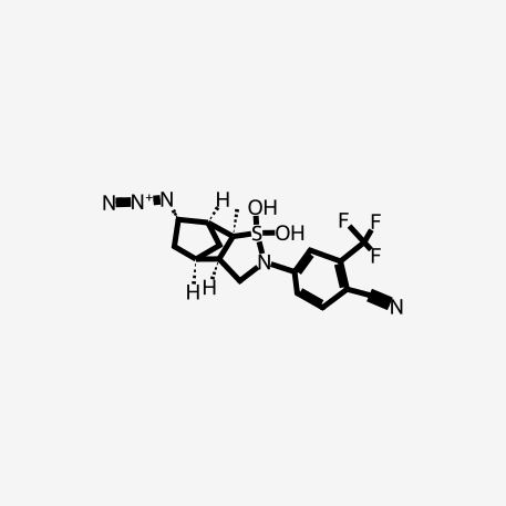 C[C@@]12[C@@H](CN(c3ccc(C#N)c(C(F)(F)F)c3)S1(O)O)[C@H]1C[C@H](N=[N+]=[N-])[C@@H]2C1